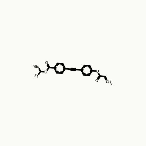 C=CC(=O)Oc1ccc(C#Cc2ccc(C(=O)OC(CC)CCCC)cc2)cc1